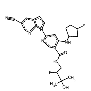 CC(C)(O)C(F)CNC(=O)c1cnc(-n2ccc3cc(C#N)cnc32)cc1NC1CCC(F)C1